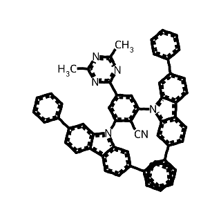 Cc1nc(C)nc(-c2cc(-n3c4cc(-c5ccccc5)ccc4c4ccc(-c5ccccc5)cc43)c(C#N)c(-n3c4cc(-c5ccccc5)ccc4c4ccc(-c5ccccc5)cc43)c2)n1